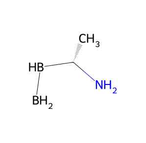 BB[C@H](C)N